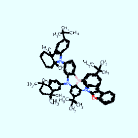 CC(C)(C)c1cc2c3c(c1)-n1c4oc5ccccc5c4c4cc(C(C)(C)C)cc(c41)B3c1ccc(N3c4ccc(C(C)(C)C)cc4C4(C)CCCCC34C)cc1N2c1ccc2c(c1)C(C)(C)CCC2(C)C